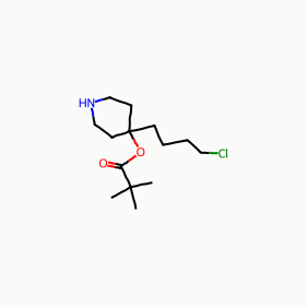 CC(C)(C)C(=O)OC1(CCCCCl)CCNCC1